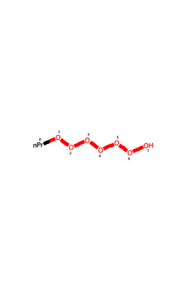 CCCOOOOOOO